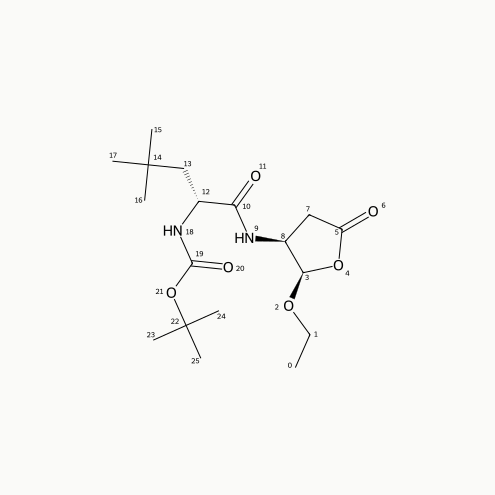 CCO[C@@H]1OC(=O)C[C@@H]1NC(=O)[C@@H](CC(C)(C)C)NC(=O)OC(C)(C)C